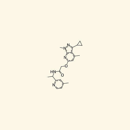 Cc1ccnc(C(C)NC(=O)COc2cc(C)c3c(C4CC4)nn(C)c3n2)c1